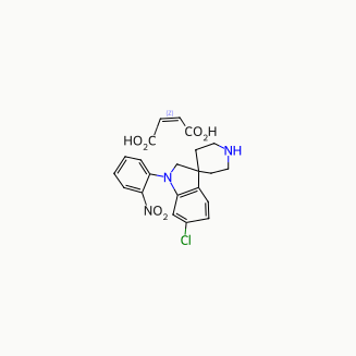 O=C(O)/C=C\C(=O)O.O=[N+]([O-])c1ccccc1N1CC2(CCNCC2)c2ccc(Cl)cc21